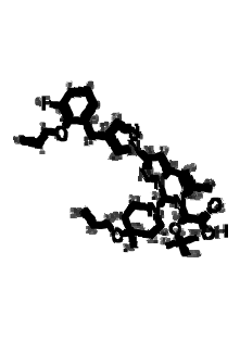 C=CCOc1c(F)cccc1Cc1cnn(-c2cc3n(n2)C(N2CCC(C)(OCC=C)CC2)N(C(OC(C)(C)C)C(=O)O)C(C)=C3)c1